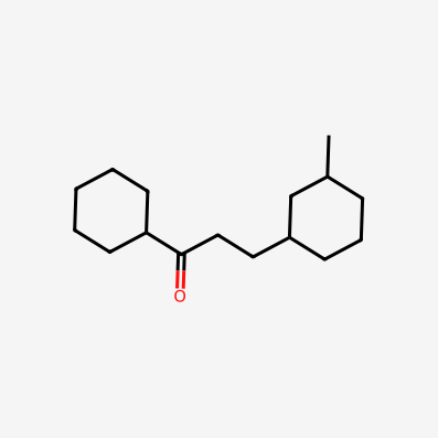 CC1CCCC(CCC(=O)C2CCCCC2)C1